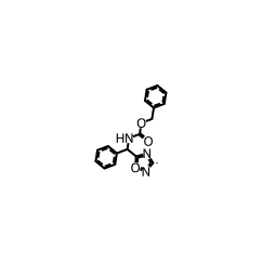 O=C(NC(c1ccccc1)c1n[c]no1)OCc1ccccc1